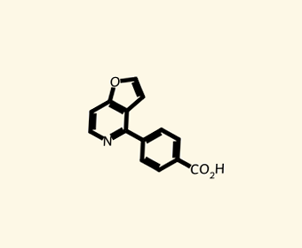 O=C(O)c1ccc(-c2nccc3occc23)cc1